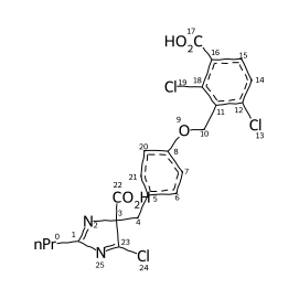 CCCC1=NC(Cc2ccc(OCc3c(Cl)ccc(C(=O)O)c3Cl)cc2)(C(=O)O)C(Cl)=N1